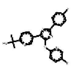 CC(C)(O)c1ccc(-c2nc(-c3ccc(F)cc3)oc2Sc2ccc(Cl)cn2)cn1